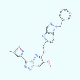 COc1cc2nnc(-c3cc(C)on3)n2nc1OCc1ccc2c(cnn2Cc2ccccc2)n1